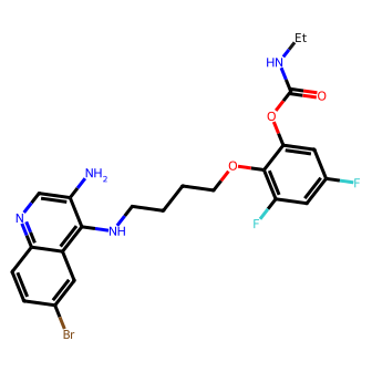 CCNC(=O)Oc1cc(F)cc(F)c1OCCCCNc1c(N)cnc2ccc(Br)cc12